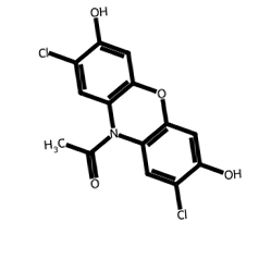 CC(=O)N1c2cc(Cl)c(O)cc2Oc2cc(O)c(Cl)cc21